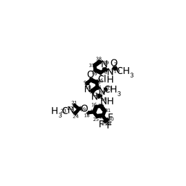 CC(=O)Nc1cc(Oc2cnc3nc(Nc4cc(COC5CN(C)C5)cc(C(F)(F)F)c4)n(C)c3c2Cl)ccn1